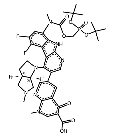 CN1C[C@H]2CCN(c3c(-c4cnc5c(c4)c(=O)c(C(=O)O)cn5C)cnc4[nH]c5c(N(C)C(=O)OCP(=O)(OC(C)(C)C)OC(C)(C)C)cc(F)c(F)c5c34)[C@H]2C1